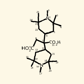 CN1C(C)(C)CC(C(CC(=O)O)(C(=O)O)C2CC(C)(C)N(C)C(C)(C)C2)CC1(C)C